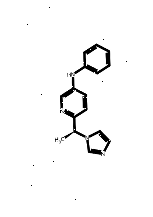 C[C@@H](c1ccc(Nc2ccccc2)cn1)n1ccnc1